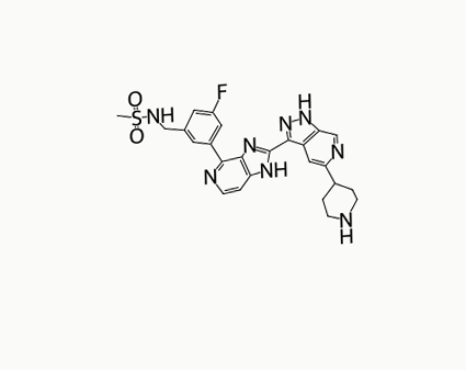 CS(=O)(=O)NCc1cc(F)cc(-c2nccc3[nH]c(-c4n[nH]c5cnc(C6CCNCC6)cc45)nc23)c1